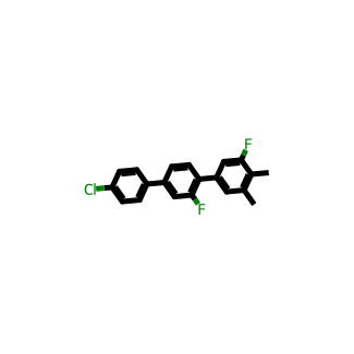 Cc1cc(-c2ccc(-c3ccc(Cl)cc3)cc2F)cc(F)c1C